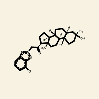 CC[C@]12CC[C@@](C)(O)C[C@@H]1CC[C@H]1[C@@H]3CC[C@H](C(=O)Cn4nc5cccc(Cl)c5n4)[C@@]3(C)CC[C@@H]12